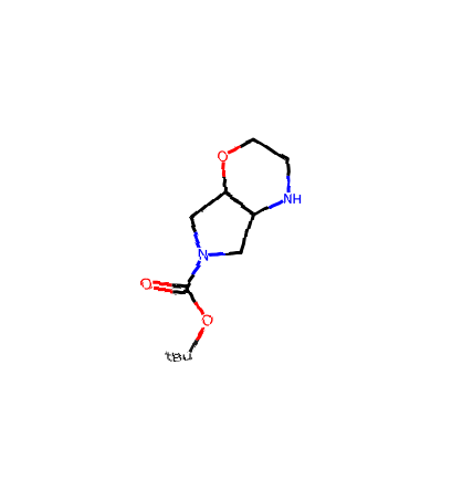 CC(C)(C)OC(=O)N1CC2NCCOC2C1